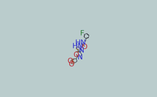 CN(Cc1csc(NC(=O)NCc2cccc(F)c2)n1)C(=O)C1CCS(=O)(=O)C1